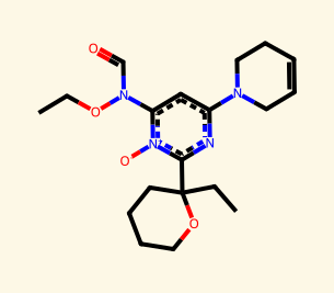 CCON(C=O)c1cc(N2CC=CCC2)nc(C2(CC)CCCCO2)[n+]1[O-]